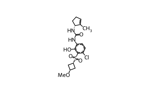 CO[C@H]1C[C@@H](S(=O)(=O)c2c(Cl)ccc(NC(=O)N[C@@H]3CCC=C3C)c2O)C1